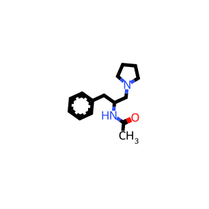 CC(=O)NC(Cc1ccccc1)CN1CCCC1